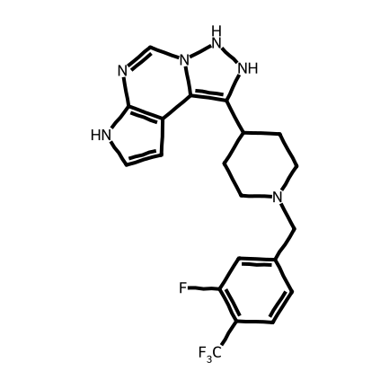 Fc1cc(CN2CCC(C3=C4c5cc[nH]c5N=CN4NN3)CC2)ccc1C(F)(F)F